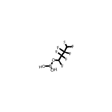 OB(O)OC(F)C(F)(F)C(F)(F)C(F)F